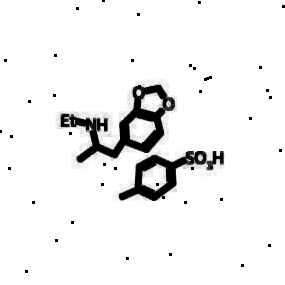 CCNC(C)Cc1ccc2c(c1)OCO2.Cc1ccc(S(=O)(=O)O)cc1